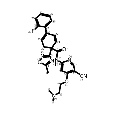 Cc1nc(C2(C(=O)Nc3cc(OCCN(C)C)c(C#N)cn3)C=CC(c3ccccc3F)=CC2)no1